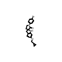 O=C1N(c2ccc(Br)cc2)CCC12Cc1ccc(OCC3CC3)cc1N2